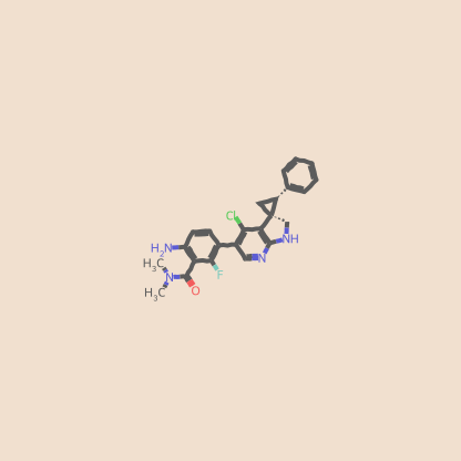 CN(C)C(=O)c1c(N)ccc(-c2cnc3c(c2Cl)[C@@]2(CN3)C[C@@H]2c2ccccc2)c1F